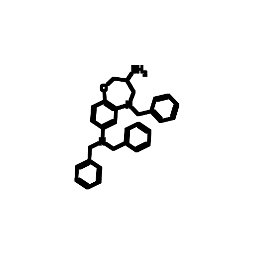 BC1COc2ccc(N(Cc3ccccc3)Cc3ccccc3)cc2N(Cc2ccccc2)C1